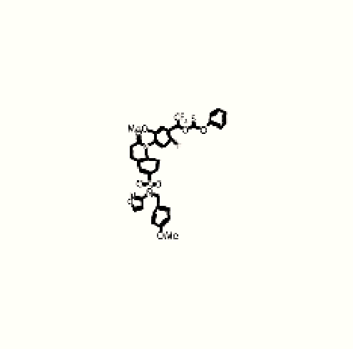 COc1ccc(CN(c2ccon2)S(=O)(=O)c2ccc3c(ccc(=O)n3-c3cc(F)c(C(OC(=S)Oc4ccccc4)C(F)(F)F)cc3OC)c2)cc1